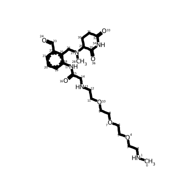 CNCCOCCOCCOCCNCC(=O)Nc1cccc(C=O)c1CN(C)C1CCC(=O)NC1=O